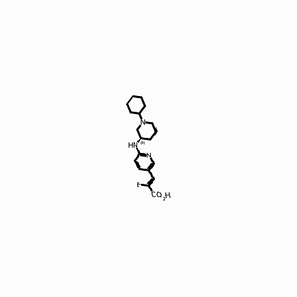 O=C(O)C(F)=Cc1ccc(N[C@@H]2CCCN(C3CCCCC3)C2)nc1